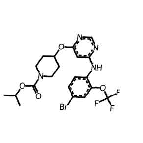 CC(C)OC(=O)N1CCC(Oc2cc(Nc3ccc(Br)cc3OC(F)(F)F)ncn2)CC1